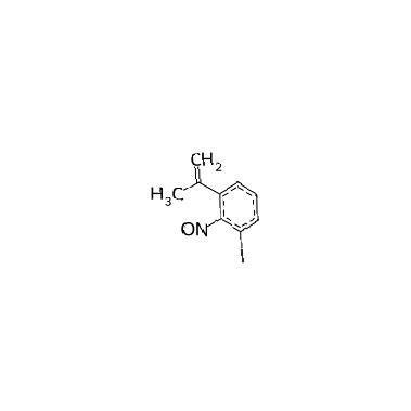 C=C(C)c1cccc(I)c1N=O